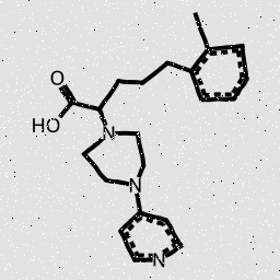 Cc1ccccc1CCCC(C(=O)O)N1CCN(c2ccncc2)CC1